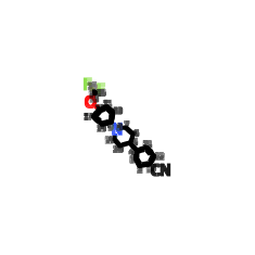 N#Cc1ccc(C2CCN(c3ccc(OC(F)F)cc3)CC2)cc1